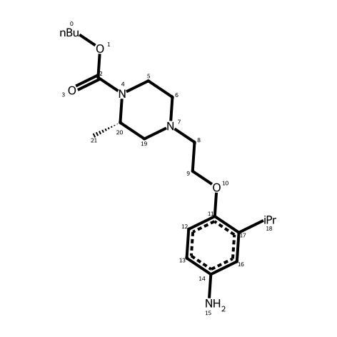 CCCCOC(=O)N1CCN(CCOc2ccc(N)cc2C(C)C)C[C@@H]1C